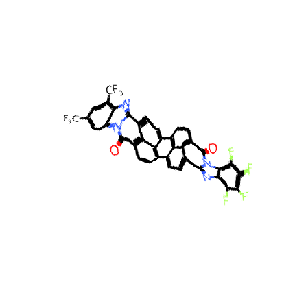 O=c1c2ccc3c4ccc5c6c(ccc(c7ccc(c8n1C1C=C(C(F)(F)F)C=C(C(F)(F)F)C1N=8)c2c73)c46)c(=O)n1c5nc2c(F)c(F)c(F)c(F)c21